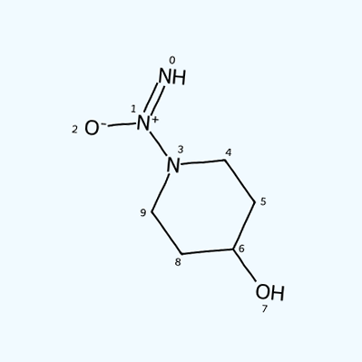 N=[N+]([O-])N1CCC(O)CC1